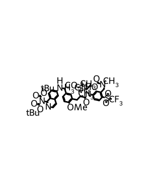 COc1ccc(C(Nc2ccc3c(N(C(=O)OC(C)(C)C)C(=O)OC(C)(C)C)nccc3c2)C(=O)O)cc1CCC(=O)Nc1ccc(S(=O)(=O)C(F)(F)F)c(CN(C)C(=O)OCC[Si](C)(C)C)c1